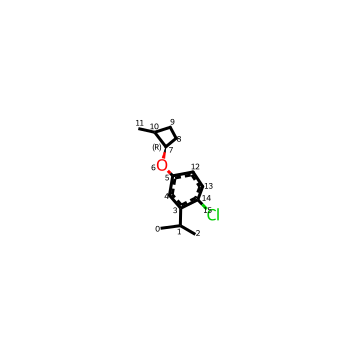 CC(C)c1cc(O[C@@H]2CCC2C)ccc1Cl